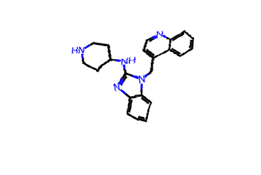 c1ccc2c(Cn3c(NC4CCNCC4)nc4ccccc43)ccnc2c1